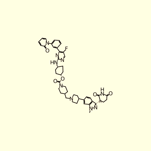 Cn1nc([C@H]2CCC(=O)NC2=O)c2ccc(C3CCN(CC4CCN(C(=O)O[C@H]5CC[C@H](Nc6ncc(F)c(-c7cccc(-n8ccccc8=O)c7)n6)CC5)CC4)CC3)cc21